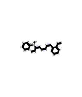 C=C\C(=C/C=C\C=C/c1ccccc1C=C)N(C)c1ccccc1